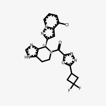 O=C(c1nnc(C2CC(F)(F)C2)o1)N1CCc2[nH]cnc2[C@H]1c1cc2c(Cl)cccn2n1